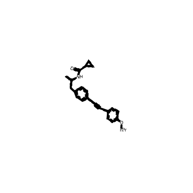 CCCOc1ccc(C#Cc2ccc(CC(C)NC(=O)C3CC3)cc2)cc1